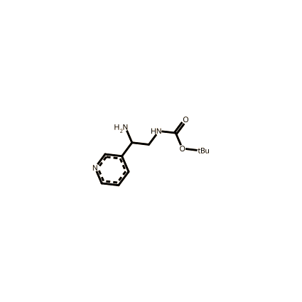 CC(C)(C)OC(=O)NCC(N)c1cccnc1